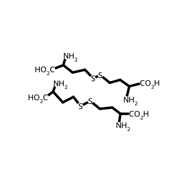 NC(CCSSCCC(N)C(=O)O)C(=O)O.NC(CCSSCCC(N)C(=O)O)C(=O)O